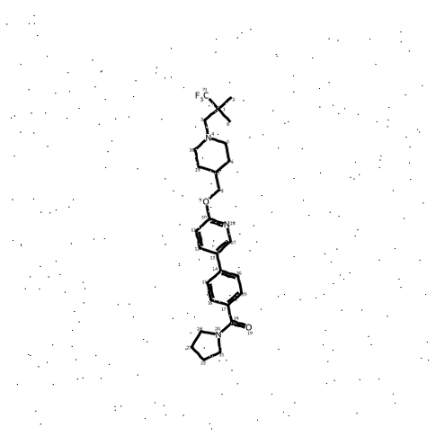 CC(C)(CN1CCC(COc2ccc(-c3ccc(C(=O)N4CCCC4)cc3)cn2)CC1)C(F)(F)F